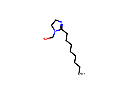 CCCCCCCCCCCCCCCCC1=NCCN1CO